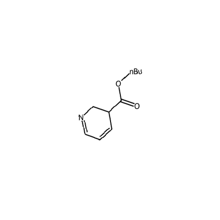 CCCCOC(=O)C1C=CC=NC1